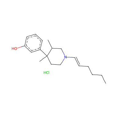 CCCC/C=C/N1CCC(C)(c2cccc(O)c2)C(C)C1.Cl